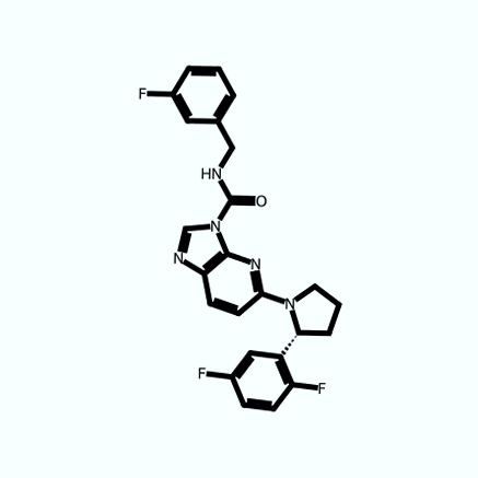 O=C(NCc1cccc(F)c1)n1cnc2ccc(N3CCC[C@@H]3c3cc(F)ccc3F)nc21